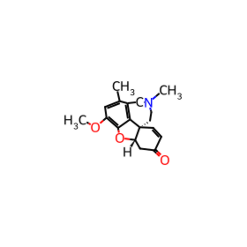 COc1cc(C)c2c3c1O[C@H]1CC(=O)C=C[C@]31CCN(C)C2